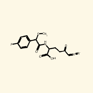 COC(C(=O)NC(CCC(=O)C=[N+]=[N-])C(=O)O)c1ccc(F)cc1